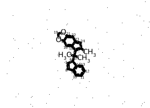 CC1=C(C(C)(C)C2C=Cc3ccccc32)C2=CC3OCOC3=CC2=C1